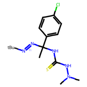 CN(C)NC(=S)NC(C)(/N=N/C(C)(C)C)c1ccc(Cl)cc1